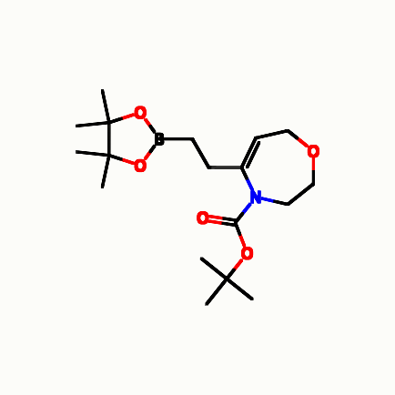 CC(C)(C)OC(=O)N1CCOCC=C1CCB1OC(C)(C)C(C)(C)O1